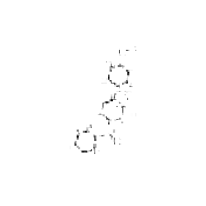 COc1ccc(C2=CC=C(C(=O)c3ccccc3)CC2(C)C)cc1